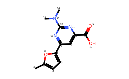 Cc1ccc(-c2cc(C(=O)O)nc(N(C)C)n2)o1